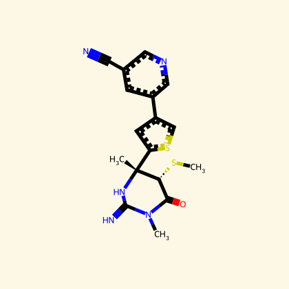 CS[C@@H]1C(=O)N(C)C(=N)N[C@]1(C)c1cc(-c2cncc(C#N)c2)cs1